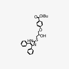 CC(C)COC(=O)c1ccc(OCC(O)CSc2nc(-c3ccccc3)c(-c3ccccc3)[nH]2)cc1